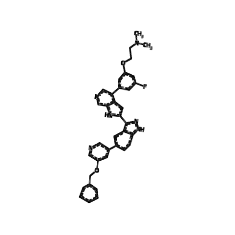 CN(C)CCOc1cc(F)cc(-c2cncc3[nH]c(-c4n[nH]c5ccc(-c6cncc(OCc7ccccc7)c6)cc45)cc23)c1